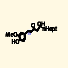 CCCCCCC[C@@H](O)CC(=O)/C=C/c1ccc(O)c(OC)c1